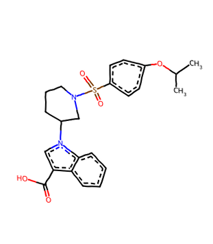 CC(C)Oc1ccc(S(=O)(=O)N2CCCC(n3cc(C(=O)O)c4ccccc43)C2)cc1